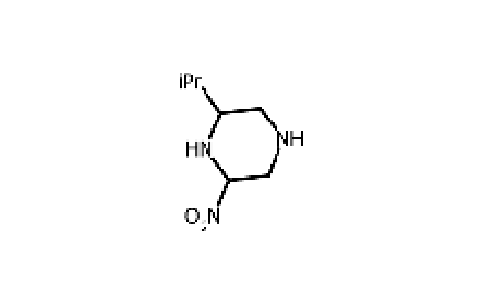 CC(C)C1CNCC([N+](=O)[O-])N1